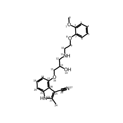 COc1ccccc1OCCNCC(O)COc1cccc2[nH]c(C)c(C#N)c12